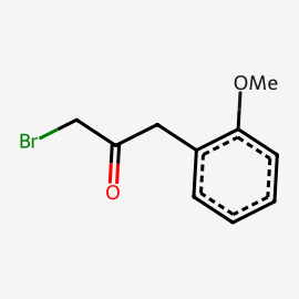 COc1ccccc1CC(=O)CBr